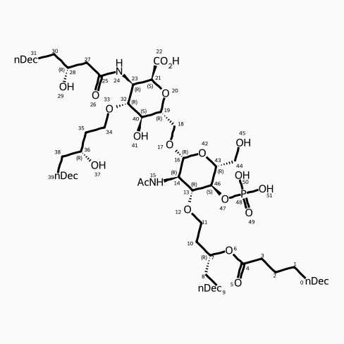 CCCCCCCCCCCCCC(=O)O[C@H](CCCCCCCCCCC)CCO[C@@H]1[C@@H](NC(C)=O)[C@H](OC[C@H]2O[C@H](C(=O)O)[C@H](NC(=O)C[C@H](O)CCCCCCCCCCC)[C@@H](OCC[C@H](O)CCCCCCCCCCC)[C@@H]2O)O[C@H](CO)[C@H]1OP(=O)(O)O